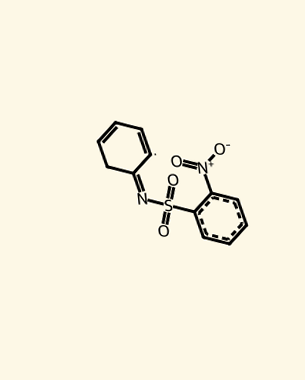 O=[N+]([O-])c1ccccc1S(=O)(=O)N=C1[C]=CC=CC1